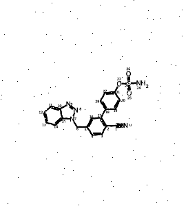 N#Cc1ccc(Cn2nnc3ccccc32)cc1-c1ccc(OS(N)(=O)=O)cc1